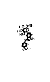 COc1ccc(Cc2c[nH]c3ccc([C@@H]4O[C@H](CO)[C@@H](O)[C@H](O)[C@H]4O)cc23)cc1